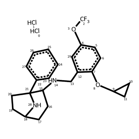 Cl.Cl.FC(F)(F)Oc1ccc(OC2CC2)c(CNC2CCC3CCC2(c2ccccc2)N3)c1